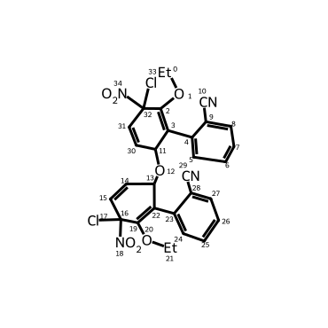 CCOC1=C(c2ccccc2C#N)C(OC2C=CC(Cl)([N+](=O)[O-])C(OCC)=C2c2ccccc2C#N)C=CC1(Cl)[N+](=O)[O-]